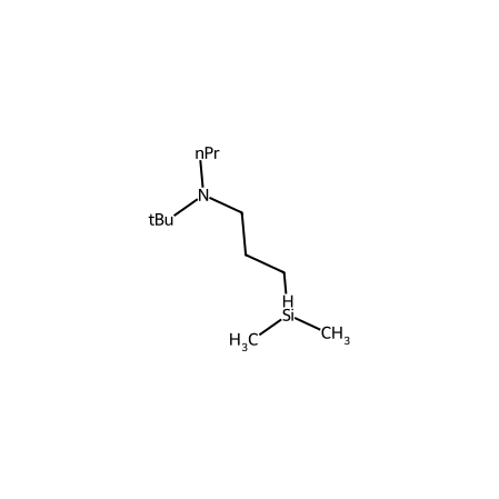 CCCN(CCC[SiH](C)C)C(C)(C)C